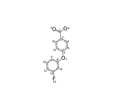 [O]C(=O)c1ccc(Oc2cccc(F)c2)cc1